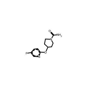 NC(=O)N1CCC(Oc2ccc(F)cn2)CC1